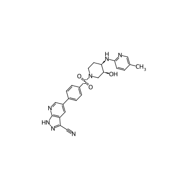 Cc1ccc(N[C@@H]2CCN(S(=O)(=O)c3ccc(-c4cnc5[nH]nc(C#N)c5c4)cc3)C[C@@H]2O)nc1